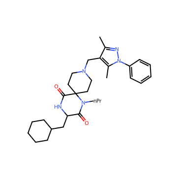 CCCN1C(=O)C(CC2CCCCC2)NC(=O)C12CCN(Cc1c(C)nn(-c3ccccc3)c1C)CC2